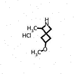 COC1CC2(CNC2C)C1.Cl